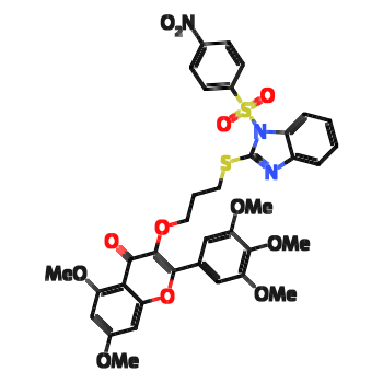 COc1cc(OC)c2c(=O)c(OCCCSc3nc4ccccc4n3S(=O)(=O)c3ccc([N+](=O)[O-])cc3)c(-c3cc(OC)c(OC)c(OC)c3)oc2c1